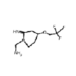 N=C1CC(OCC(F)(F)F)CCN1CN